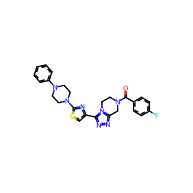 O=C(c1ccc(F)cc1)N1CCn2c(nnc2-c2csc(N3CCN(c4ccccc4)CC3)n2)C1